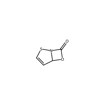 O=C1OC2C=CSN12